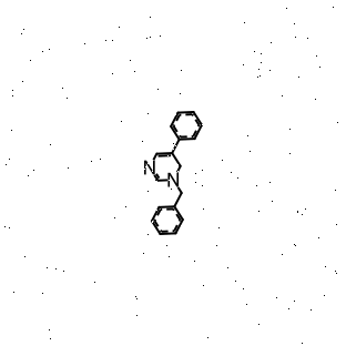 C1=NC=C(c2ccccc2)CN1Cc1ccccc1